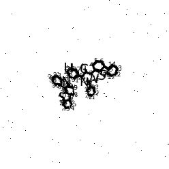 CC1C(c2cccc3c2sc2ccccc23)=NC(c2ccccc2)=NC1c1cccc(-n2c3ccccc3c3c4sc5ccccc5c4ccc32)c1